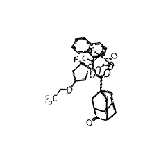 O=C1C2CC3CC1CC(C(=O)OC(C(F)(F)F)C(F)(F)S(=O)(=O)OS1(c4cccc5ccccc45)CCC(OCC(F)(F)F)C1)(C3)C2